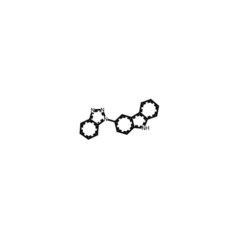 c1ccc2c(c1)nnn2-c1ccc2[nH]c3ccccc3c2c1